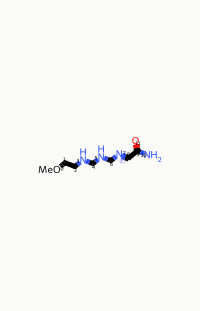 COCCNCNC/N=C/C(N)=O